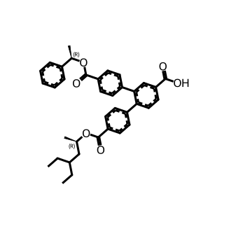 CCC(CC)C[C@@H](C)OC(=O)c1ccc(-c2ccc(C(=O)O)cc2-c2ccc(C(=O)O[C@H](C)c3ccccc3)cc2)cc1